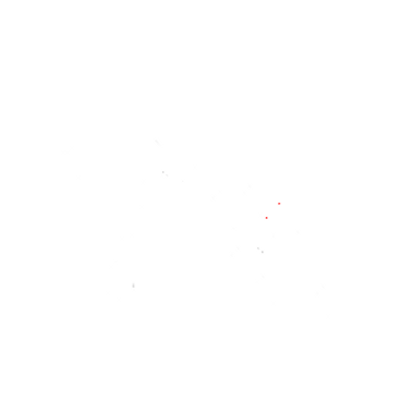 c1ccc(-c2cccc(N(c3ccccc3)c3ccccc3-c3ccccc3-c3ccc4c(c3)c3ccccc3n4-c3cc(-c4ccccc4)cc(-c4ccc5ccccc5c4)c3)c2)cc1